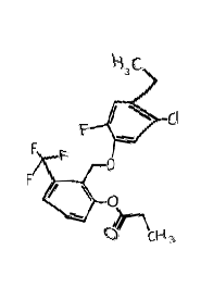 CCC(=O)Oc1cccc(C(F)(F)F)c1COc1cc(Cl)c(CC)cc1F